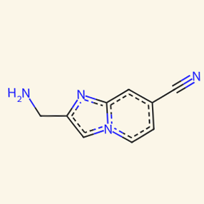 N#Cc1ccn2cc(CN)nc2c1